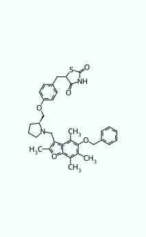 Cc1oc2c(C)c(C)c(OCc3ccccc3)c(C)c2c1CN1CCC[C@H]1COc1ccc(CC2SC(=O)NC2=O)cc1